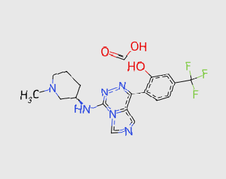 CN1CCC[C@@H](Nc2nnc(-c3ccc(C(F)(F)F)cc3O)c3cncn23)C1.O=CO